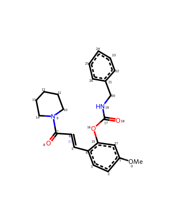 COc1ccc(/C=C/C(=O)N2CCCCC2)c(OC(=O)NCc2ccccc2)c1